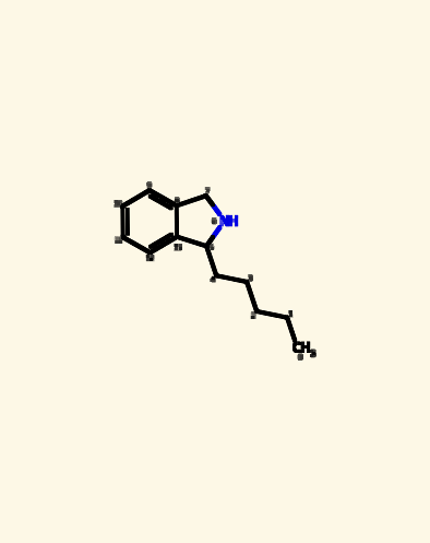 CCCCCC1NCc2ccccc21